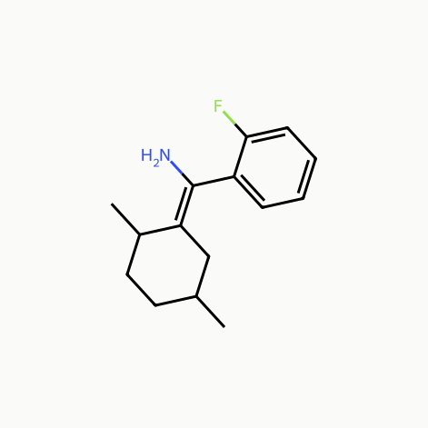 CC1CCC(C)/C(=C(\N)c2ccccc2F)C1